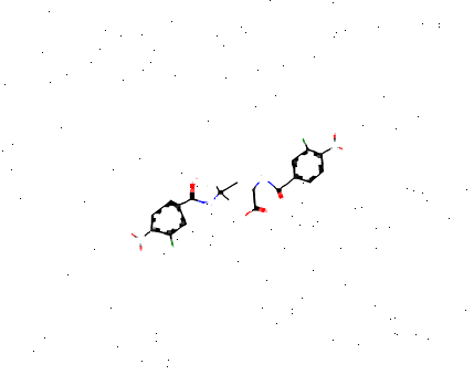 CC(C)(C[C@H](NC(=O)c1ccc(B(O)O)c(F)c1)C(=O)O)NC(=O)c1ccc(B(O)O)c(F)c1